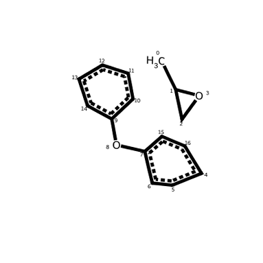 CC1CO1.c1ccc(Oc2ccccc2)cc1